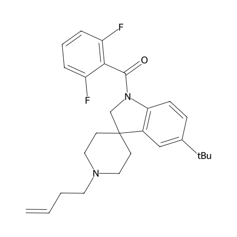 C=CCCN1CCC2(CC1)CN(C(=O)c1c(F)cccc1F)c1ccc(C(C)(C)C)cc12